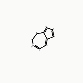 C1=CC2=CC=[N+]CCC2=C1